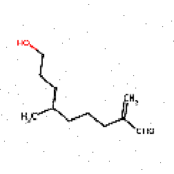 C=C([C]=O)CCCC(C)CCCO